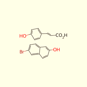 O=C(O)C=Cc1ccc(O)cc1.Oc1ccc2cc(Br)ccc2c1